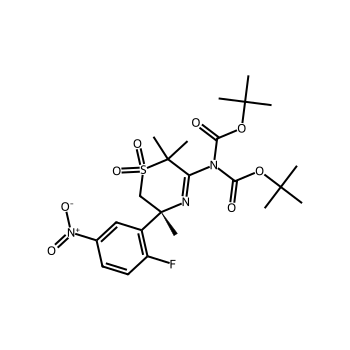 CC(C)(C)OC(=O)N(C(=O)OC(C)(C)C)C1=N[C@](C)(c2cc([N+](=O)[O-])ccc2F)CS(=O)(=O)C1(C)C